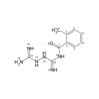 Cc1ccccc1C(=O)NC(=N)NNC(=N)N